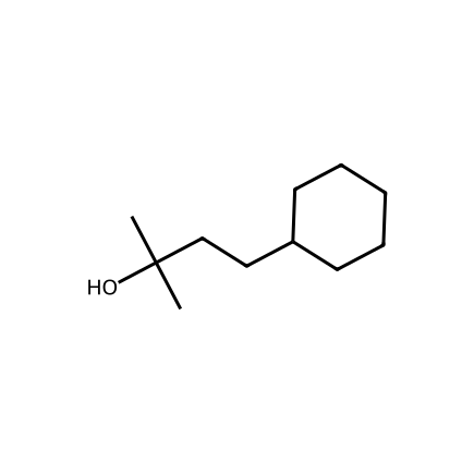 CC(C)(O)CCC1CCCCC1